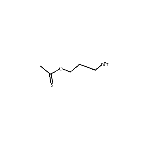 CCCCCCOC(C)=S